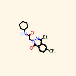 CCc1nn(CC(=O)NC2CCCCC2)c(=O)c2ccc(C(F)(F)F)cc12